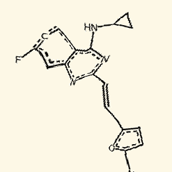 O=[N+]([O-])c1ccc(C=Cc2nc(NC3CC3)c3ccc(F)cc3n2)o1